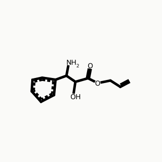 C=CCOC(=O)C(O)C(N)c1ccccc1